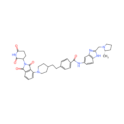 C[C@H]1CCCN1Cc1nc2cc(NC(=O)c3ccc(CCC4CCN(c5cccc6c5C(=O)N(C5CCC(=O)NC5=O)C6=O)CC4)cc3)ccc2[nH]1